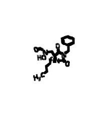 CCCCC[C@@]1(CN(O)C=O)NC(=O)N(Cc2ccccc2)C1=O